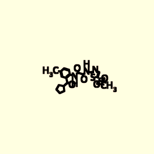 Cc1ccc(NC(=O)C(=O)Nc2ncc(S(C)(=O)=O)s2)c(C(=O)C2CCCC2)c1